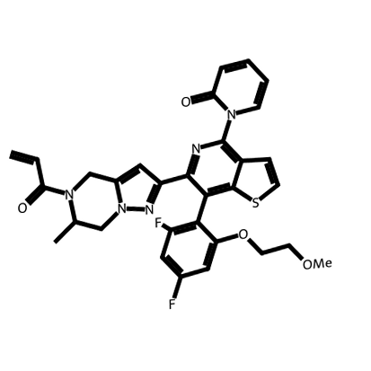 C=CC(=O)N1Cc2cc(-c3nc(-n4ccccc4=O)c4ccsc4c3-c3c(F)cc(F)cc3OCCOC)nn2CC1C